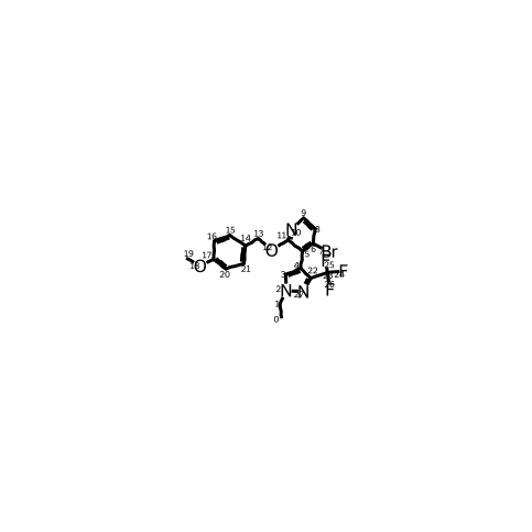 CCn1cc(-c2c(Br)ccnc2OCc2ccc(OC)cc2)c(C(F)(F)F)n1